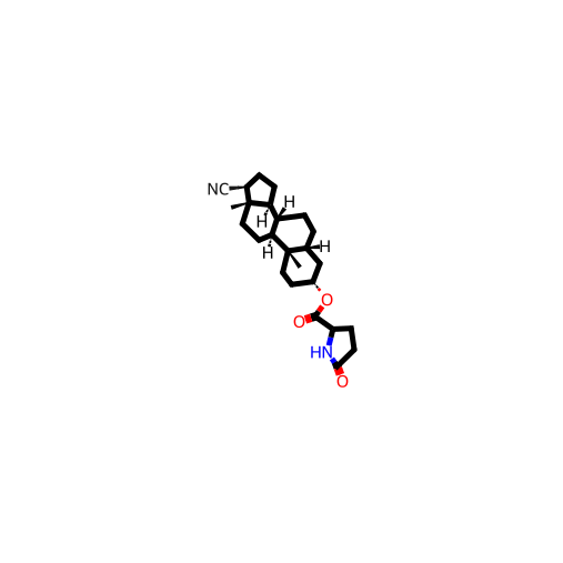 C[C@]12CC[C@@H](OC(=O)C3CCC(=O)N3)C[C@H]1CC[C@@H]1[C@@H]2CC[C@]2(C)[C@@H](C#N)CC[C@@H]12